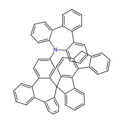 c1ccc2c(c1)Cc1ccc3c(c1-2)-c1ccccc1C31c2ccccc2-c2ccccc2-c2ccc(N3c4ccccc4-c4ccccc4-c4ccccc43)cc21